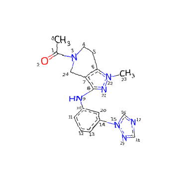 CC(=O)N1CCc2c(c(Nc3cccc(-n4cncn4)c3)nn2C)C1